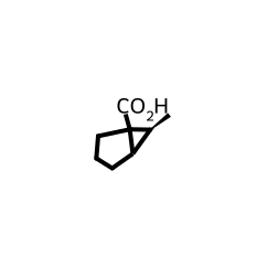 C[C@H]1C2CCCC21C(=O)O